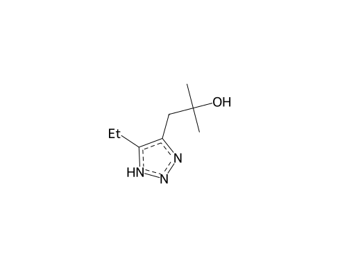 CCc1[nH]nnc1CC(C)(C)O